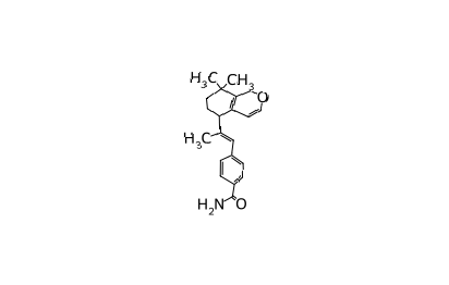 CC(=Cc1ccc(C(N)=O)cc1)C1CCC(C)(C)C2=C1C=COC2